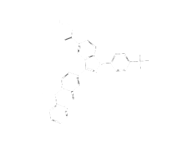 COC(=O)c1ccc2c(c1)c(-c1ccn([C@@H](C)c3ccccn3)c(=O)c1)nn2-c1ccc(C(F)(F)F)cc1